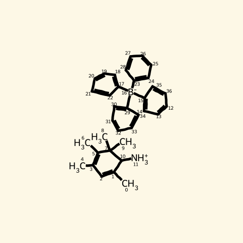 CC1=CC(C)=C(C)C(C)(C)C1[NH3+].c1ccc([B-](c2ccccc2)(c2ccccc2)c2ccccc2)cc1